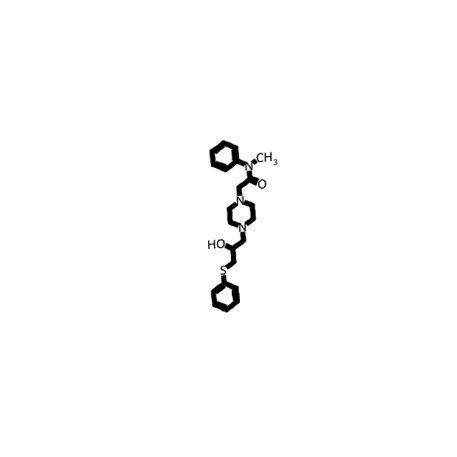 CN(C(=O)CN1CCN(CC(O)CSc2ccccc2)CC1)c1ccccc1